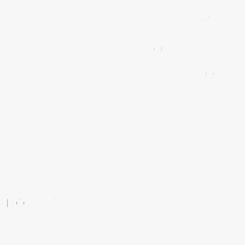 COC(=O)Oc1ccc2c(c1)CCC(C(=O)O)C2